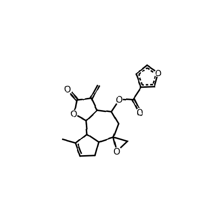 C=C1C(=O)OC2C1C(OC(=O)c1ccoc1)CC1(CO1)C1CC=C(C)C21